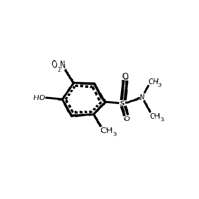 Cc1cc(O)c([N+](=O)[O-])cc1S(=O)(=O)N(C)C